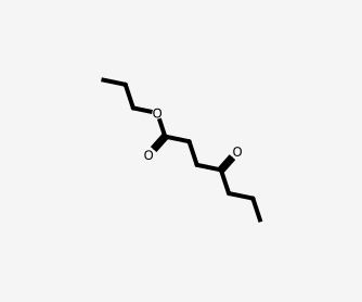 CCCOC(=O)CCC(=O)CCC